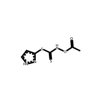 CC(=O)ONC(=S)Sc1cc[nH]n1